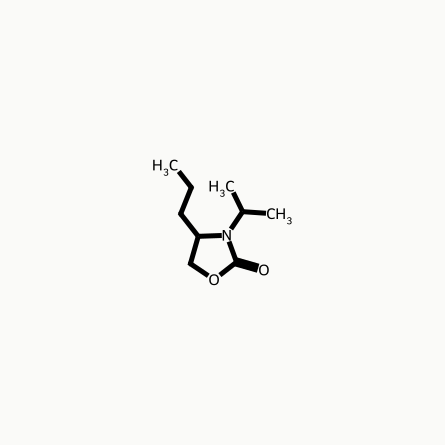 CCCC1COC(=O)N1C(C)C